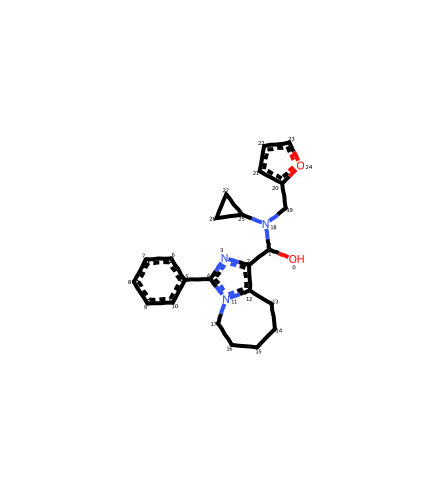 OC(c1nc(-c2ccccc2)n2c1CCCCC2)N(Cc1ccco1)C1CC1